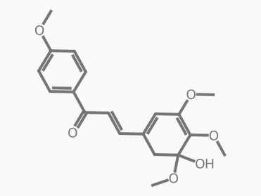 COC1=C(OC)C(O)(OC)CC(C=CC(=O)c2ccc(OC)cc2)=C1